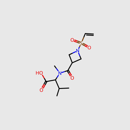 C=CS(=O)(=O)N1CC(C(=O)N(C)C(C(=O)O)C(C)C)C1